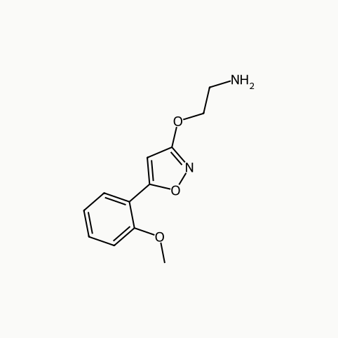 COc1ccccc1-c1cc(OCCN)no1